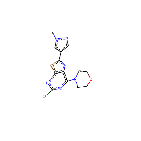 Cn1cc(-c2nc3c(N4CCOCC4)nc(Cl)nc3s2)cn1